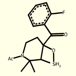 CC(=O)N1CCC(O[SiH3])(C(=O)c2ccccc2F)C(C)C1(C)C